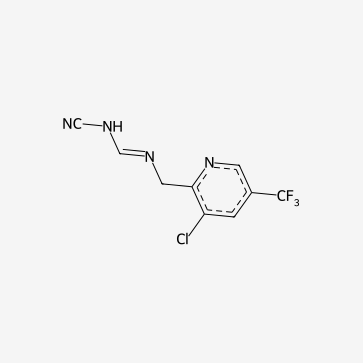 N#CN/C=N/Cc1ncc(C(F)(F)F)cc1Cl